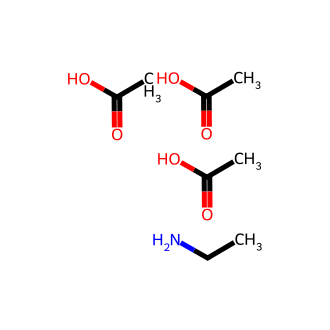 CC(=O)O.CC(=O)O.CC(=O)O.CCN